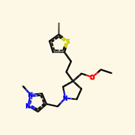 CCOCC1(CCc2ccc(C)s2)CCN(Cc2cnn(C)c2)C1